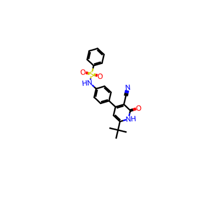 CC(C)(C)c1cc(-c2ccc(NS(=O)(=O)c3ccccc3)cc2)c(C#N)c(=O)[nH]1